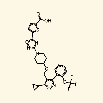 O=C(O)c1ccc(-c2nc(N3CCC(OCc4c(-c5ccccc5OC(F)(F)F)noc4C4CC4)CC3)no2)s1